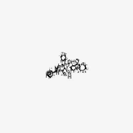 O=c1c2ccc(Nc3cc(N[C@H](CO)c4ccccc4)c(-c4nc(C56CCN(CC5)CC6)no4)cn3)cc2n2n1CC=CCC2